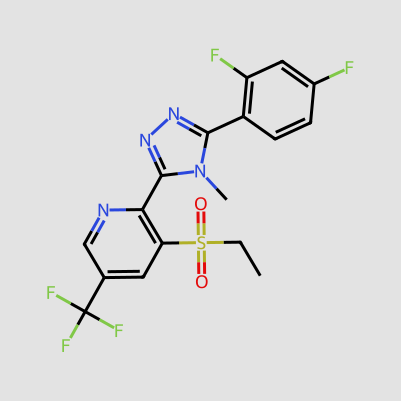 CCS(=O)(=O)c1cc(C(F)(F)F)cnc1-c1nnc(-c2ccc(F)cc2F)n1C